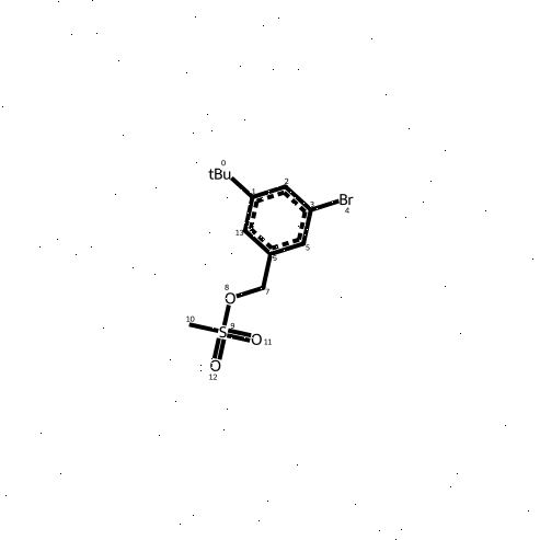 CC(C)(C)c1cc(Br)cc(COS(C)(=O)=O)c1